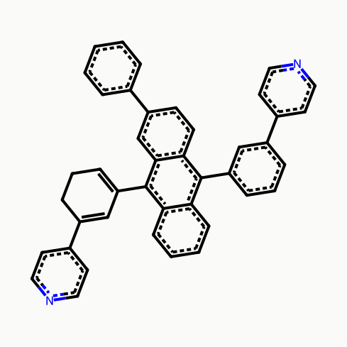 C1=C(c2ccncc2)CCC=C1c1c2ccccc2c(-c2cccc(-c3ccncc3)c2)c2ccc(-c3ccccc3)cc12